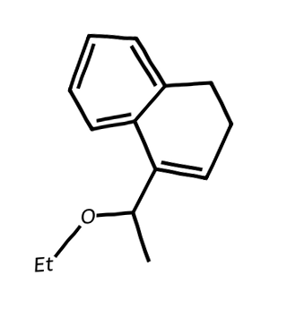 CCOC(C)C1=CCCc2ccccc21